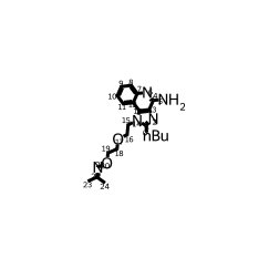 CCCCc1nc2c(N)nc3ccccc3c2n1CCOCCON=C(C)C